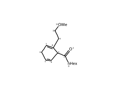 CCCCCCC(=O)C1C=CCC=C1CCOC